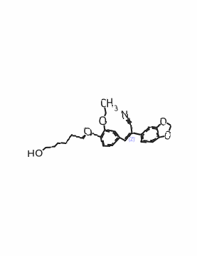 CCOc1cc(/C=C(\C#N)c2ccc3c(c2)OCO3)ccc1OCCCCCCO